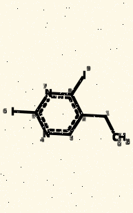 CCc1cnc(I)nc1I